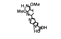 CO/C(N)=C(I)/C(=N\C(C)c1cc2cc(B(O)O)n(C)c2cn1)OC